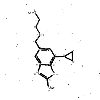 COCCNCc1cc(C2CC2)c2oc(SC)nc2c1